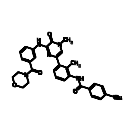 Cc1c(NC(=O)c2ccc(C(C)(C)C)cc2)cccc1-c1cn(C)c(=O)c(Nc2cccc(C(=O)N3CCOCC3)c2)n1